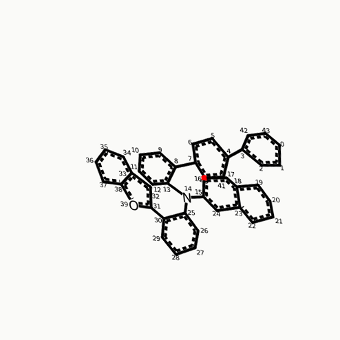 c1ccc(-c2ccc(-c3ccccc3N(c3ccc4ccccc4c3)c3ccccc3-c3cc4ccccc4o3)cc2)cc1